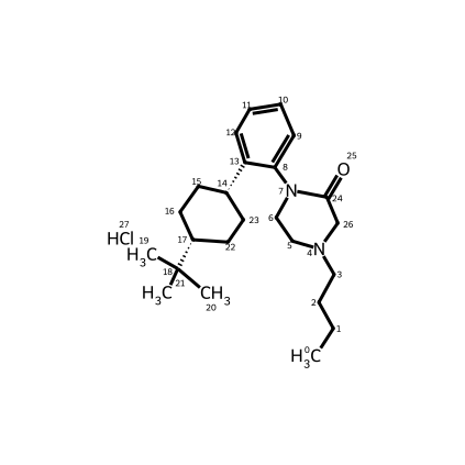 CCCCN1CCN(c2ccccc2[C@H]2CC[C@@H](C(C)(C)C)CC2)C(=O)C1.Cl